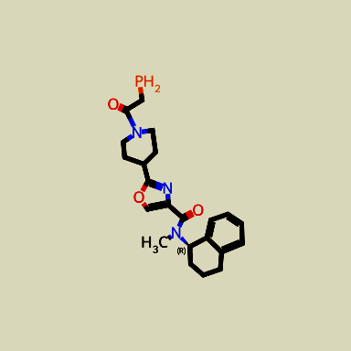 CN(C(=O)c1coc(C2CCN(C(=O)CP)CC2)n1)[C@@H]1CCCc2ccccc21